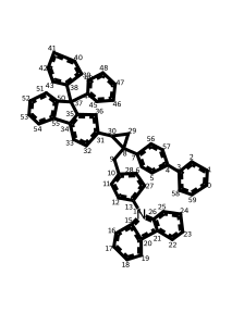 c1ccc(-c2ccc(C3(Cc4ccc(-n5c6ccccc6c6ccccc65)cc4)CC3c3ccc4c(c3)C(c3ccccc3)(c3ccccc3)c3ccccc3-4)cc2)cc1